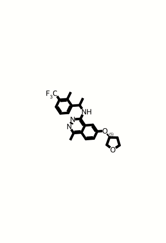 Cc1c(C(C)Nc2nnc(C)c3ccc(O[C@H]4CCOC4)cc23)cccc1C(F)(F)F